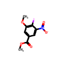 COC(=O)c1cc(OC)c(I)c([N+](=O)[O-])c1